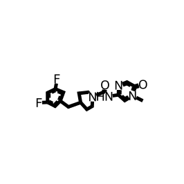 Cn1cc(NC(=O)N2CCC(Cc3cc(F)cc(F)c3)CC2)ncc1=O